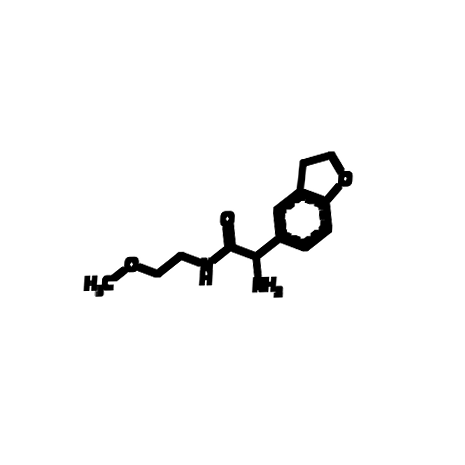 COCCNC(=O)C(N)c1ccc2c(c1)CCO2